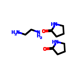 NCCN.O=C1CCCN1.O=C1CCCN1